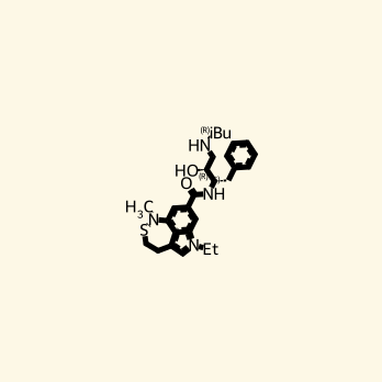 CC[C@@H](C)NC[C@@H](O)[C@H](Cc1ccccc1)NC(=O)c1cc2c3c(cn(CC)c3c1)CCSN2C